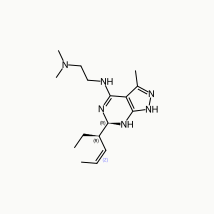 C/C=C\[C@@H](CC)[C@H]1N=C(NCCN(C)C)c2c(C)n[nH]c2N1